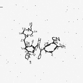 CC(C)c1ccc(C(=O)Nc2cc(CN3CCN(C)CC3)cc(C(F)(F)F)c2)cc1C#N